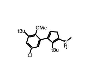 COc1c(C2=CCC([SiH](C)C)=C2C(C)(C)C)cc(Cl)cc1C(C)(C)C